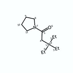 CC[N+](CC)(CC)CC(=O)N1CCCC1